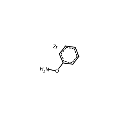 NOc1ccccc1.[Zr]